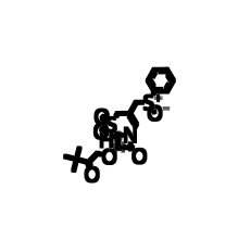 CC(C)(C)C(=O)CO[C@H]1C(=O)N2C=C(C[S+]([O-])c3ccccc3)CS(=O)(=O)[C@@H]12